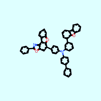 c1ccc(-c2ccc(N(c3ccc(-c4cc5oc(-c6ccccc6)nc5c5c4oc4ccccc45)cc3)c3cccc(-c4cccc5c4oc4ccccc45)c3)cc2)cc1